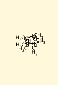 CCN(CC)CCCN(CC)CC.CN(C)CCCN(C)C